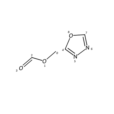 COC=O.c1nnco1